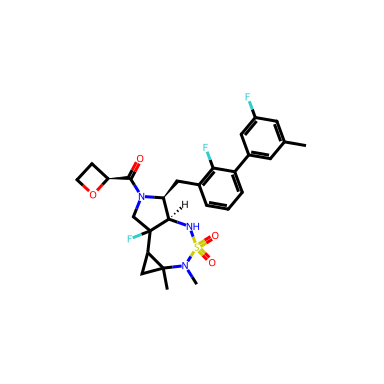 Cc1cc(F)cc(-c2cccc(C[C@H]3[C@H]4NS(=O)(=O)N(C)C5(C)CC5C4(F)CN3C(=O)[C@@H]3CCO3)c2F)c1